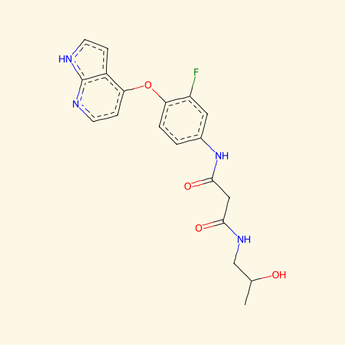 CC(O)CNC(=O)CC(=O)Nc1ccc(Oc2ccnc3[nH]ccc23)c(F)c1